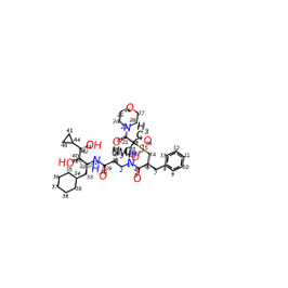 CS[C@H](CNC(=O)[C@H](Cc1ccccc1)CS(=O)(=O)C(C)(C)C(=O)N1CCOCC1)C(=O)N[C@@H](CC1CCCCC1)[C@@H](O)[C@@H](O)C1CC1